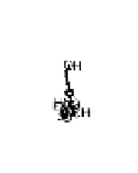 CCC1([C@H](NC(=O)c2ccc(C#CC#CCCO)cc2)C(=O)NO)CS(=O)(=O)C1